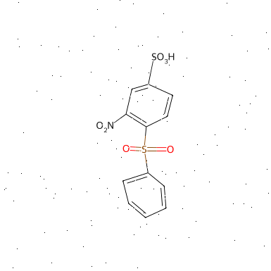 O=[N+]([O-])c1cc(S(=O)(=O)O)ccc1S(=O)(=O)c1ccccc1